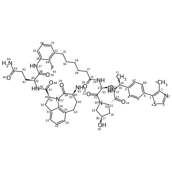 Cc1ncsc1-c1ccc([C@H](C)NC(=O)[C@@H]2C[C@@H](O)CN2C(=O)[C@@H](NC(=O)CCCCCc2cccc(NC(=O)[C@H](CCC(N)=O)NC(=O)[C@@H]3Cc4cccc5c4N3C(=O)[C@@H](N)CC5)c2F)C(C)(C)C)cc1